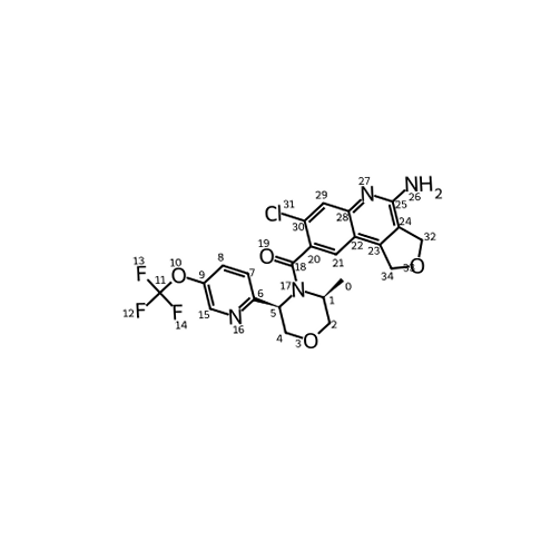 C[C@H]1COC[C@@H](c2ccc(OC(F)(F)F)cn2)N1C(=O)c1cc2c3c(c(N)nc2cc1Cl)COC3